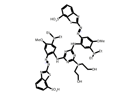 CCN(CC)c1cc(Nc2nc(Nc3cc(N(CC)CC)c(OC)cc3/N=N/c3nc4cccc(S(=O)(=O)O)c4s3)nc(N(CCO)CCO)n2)c(/N=N/c2nc3cccc(S(=O)(=O)O)c3s2)cc1OC